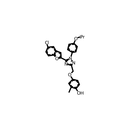 Cc1cc(OCc2nc(-c3cc4cc(Cl)ccc4o3)n(-c3ccc(OC(C)C)cc3)n2)ccc1O